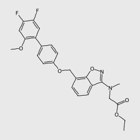 CCOC(=O)CN(C)c1noc2c(COc3ccc(-c4cc(F)c(F)cc4OC)cc3)cccc12